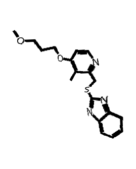 COCCCOc1ccnc(CSC2=NC3=CC=CCC3=N2)c1C